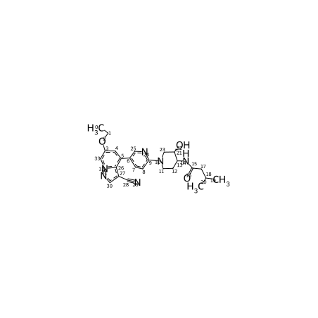 CCOc1cc(-c2ccc(N3CCC(NC(=O)CC(C)C)[C@H](O)C3)nc2)c2c(C#N)cnn2c1